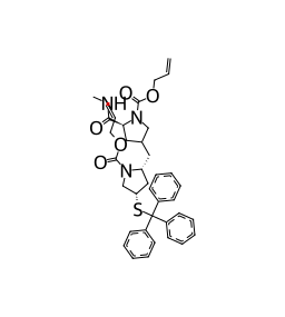 C=CCOC(=O)N1C[C@@H](SC(c2ccccc2)(c2ccccc2)c2ccccc2)C[C@H]1CC1C[C@@H](C(=O)NC)N(C(=O)OCC=C)C1